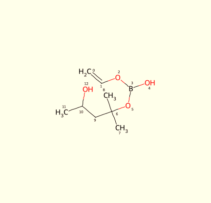 C=COB(O)OC(C)(C)CC(C)O